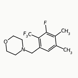 Cc1cc(CN2CCOCC2)c(C(F)(F)F)c(F)c1C